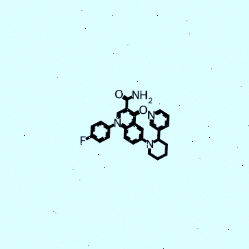 NC(=O)c1cn(-c2ccc(F)cc2)c2ccc(N3CCCCC3c3cccnc3)cc2c1=O